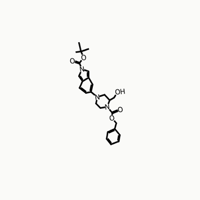 CC(C)(C)OC(=O)n1cc2ccc(N3CCN(C(=O)OCc4ccccc4)C(CO)C3)cc2c1